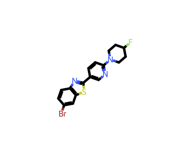 FC1CCN(c2ccc(-c3nc4ccc(Br)cc4s3)cn2)CC1